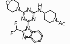 CC(=O)N1CCC(Nc2nc(N3CCOCC3)nc(-n3c(C(F)F)nc4ccccc43)n2)CC1